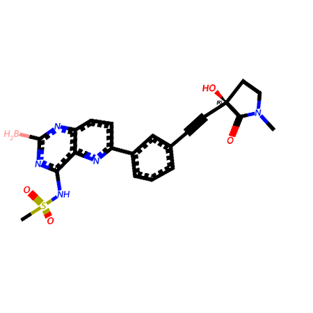 Bc1nc(NS(C)(=O)=O)c2nc(-c3cccc(C#C[C@]4(O)CCN(C)C4=O)c3)ccc2n1